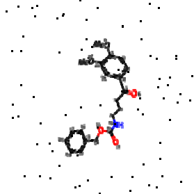 COc1ccc(C(=O)CCCNC(=O)OCc2ccccc2)cc1OC